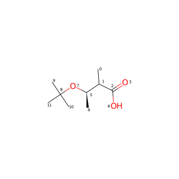 CC(C(=O)O)[C@@H](C)OC(C)(C)C